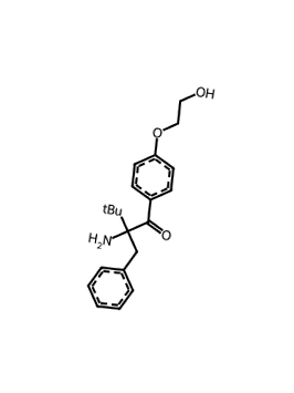 CC(C)(C)C(N)(Cc1ccccc1)C(=O)c1ccc(OCCO)cc1